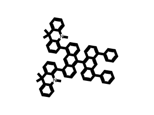 CN1c2ccccc2C(C)(C)c2cccc(-c3cccc4c(-c5c6cccc(-c7ccccc7)c6cc6c(-c7ccccc7)cccc56)c5cccc(-c6cccc7c6N(C)c6ccccc6C7(C)C)c5cc34)c21